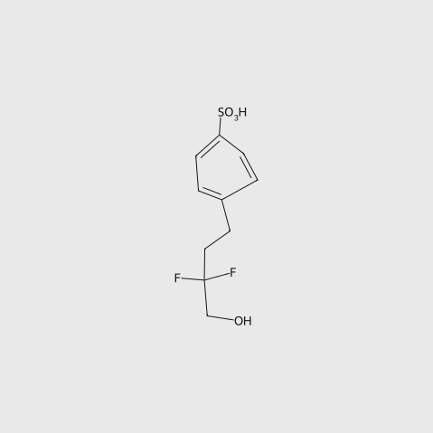 O=S(=O)(O)c1ccc(CCC(F)(F)CO)cc1